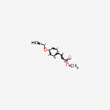 C#CCOc1ccc(/C=C/C(=O)OC)cc1